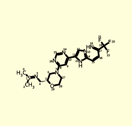 CS(C)=NC[C@@H]1CN(c2cc(-c3cnc(/C=C\C(=N)C(F)(F)F)[nH]3)ncn2)CCO1